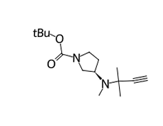 C#CC(C)(C)N(C)[C@@H]1CCN(C(=O)OC(C)(C)C)C1